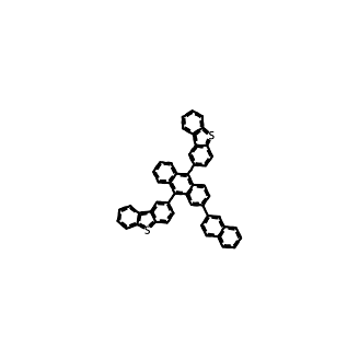 c1ccc2cc(-c3ccc4c(-c5ccc6sc7ccccc7c6c5)c5ccccc5c(-c5ccc6sc7ccccc7c6c5)c4c3)ccc2c1